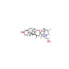 CC1=C2C[C@H]3[C@@H](CCC4=CC(=O)CCC43C)[C@@H]2CCC2(C1)O[C@@H]1C[C@H](C)CN(CCO)[C@H]1[C@H]2C